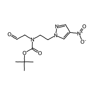 CC(C)(C)OC(=O)N(CC=O)CCn1cc([N+](=O)[O-])cn1